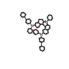 c1ccc(-c2ccc(N(c3ccccc3)c3ccc4c(ccc5c4c4c6cc(N(c7ccccc7)c7ccc(-c8ccccc8)cc7)ccc6ccc4n5-c4ccccc4)c3)cc2)cc1